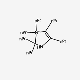 CCCC1=C(CCC)[N+](CCC)(CCC)C(CCC)(CCC)N1